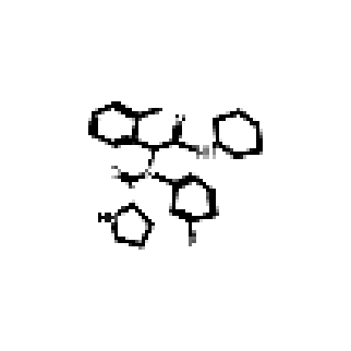 Cc1ccccc1[C@@H](C(=O)NC1CCCCC1)N(C(=O)[C@@H]1CCCN1)c1cccc(F)c1